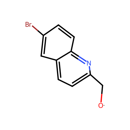 [O]Cc1ccc2cc(Br)ccc2n1